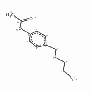 [CH2]CCCCc1ccc(OC(C)=O)cc1